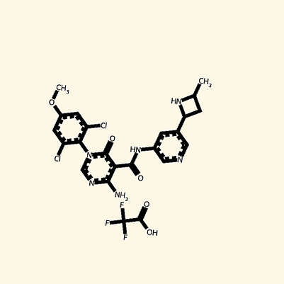 COc1cc(Cl)c(-n2cnc(N)c(C(=O)Nc3cncc(C4CC(C)N4)c3)c2=O)c(Cl)c1.O=C(O)C(F)(F)F